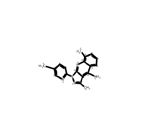 Cc1ccc(-n2nc(C)c3c(N)c4cccc(C)c4nc32)nc1